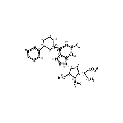 CC(=O)O[C@@H]1[C@H](OC(C)=O)[C@@H](C(C)C(=O)O)O[C@H]1n1cnc2c(N3CCCC(c4ccccc4)C3)nc(Cl)nc21